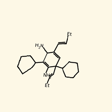 CC/C=C/C1=CC(/C=C/CC)(C2CCCCC2)C(N)=C(C2CCCCC2)C1N